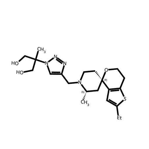 CCc1cc2c(s1)CCO[C@@]21CCN(Cc2cn(C(C)(CO)CO)nn2)[C@@H](C)C1